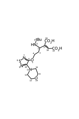 CC(C)(C)NC(CCOc1nsnc1N1CCOCC1)C(=CC(=O)O)C(=O)O